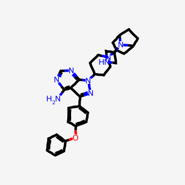 Nc1ncnc2c1c(-c1ccc(Oc3ccccc3)cc1)nn2C1CCN(C2CC3CCC(C2)N3C2CNC2)CC1